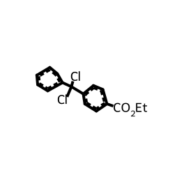 CCOC(=O)c1ccc(C(Cl)(Cl)c2ccccc2)cc1